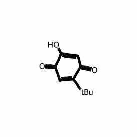 CC(C)(C)C1=CC(=O)C(O)=CC1=O